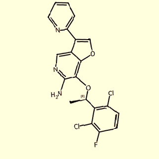 C[C@@H](Oc1c(N)ncc2c(-c3ccccn3)coc12)c1c(Cl)ccc(F)c1Cl